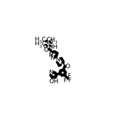 CC(C)(C)S(=O)(=O)NC(=O)c1ccc(N2CCN(C(=O)c3cc(-c4cncc(O)c4)cc(C(F)(F)F)c3)CC2)nn1